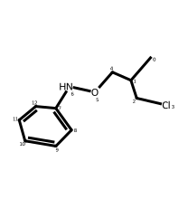 CC(CCl)CONc1ccccc1